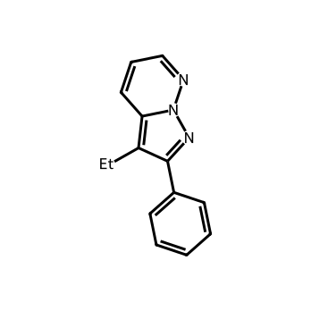 CCc1c(-c2ccccc2)nn2ncccc12